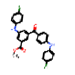 COC(=O)c1cc(Nc2ccc(Cl)cc2)cc(C(=O)c2ccc(Nc3ccc(Cl)cc3)cc2)c1